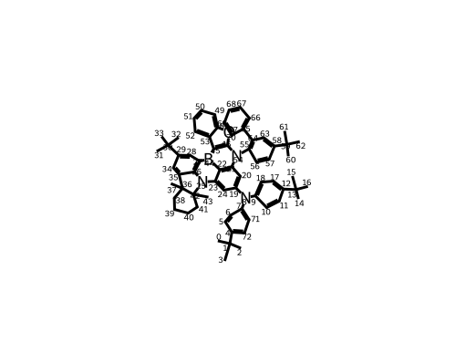 CC(C)(C)c1ccc(N(c2ccc(C(C)(C)C)cc2)c2cc3c4c(c2)N2c5c(cc(C(C)(C)C)cc5C5(C)CCCCC25C)B4c2c(oc4ccccc24)N3c2ccc(C(C)(C)C)cc2-c2ccccc2)cc1